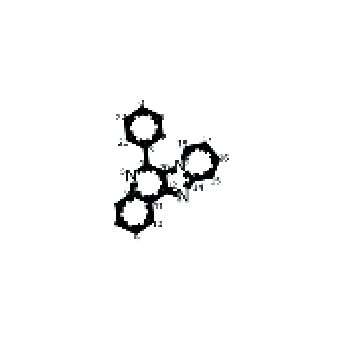 c1ccc(-c2nc3ccccc3c3nc4ccccn4c23)cc1